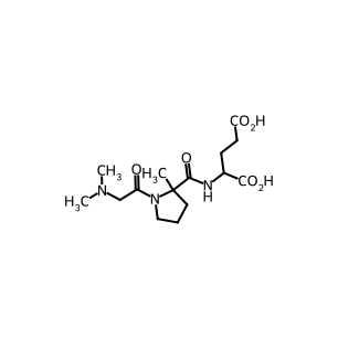 CN(C)CC(=O)N1CCCC1(C)C(=O)NC(CCC(=O)O)C(=O)O